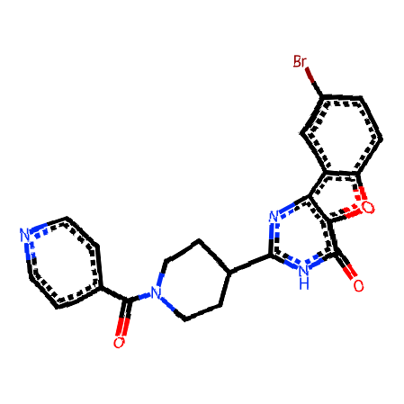 O=C(c1ccncc1)N1CCC(c2nc3c(oc4ccc(Br)cc43)c(=O)[nH]2)CC1